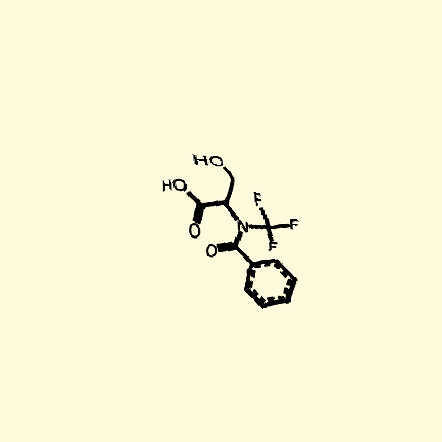 O=C(O)C(CO)N(C(=O)c1ccccc1)C(F)(F)F